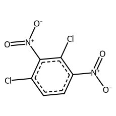 O=[N+]([O-])c1ccc(Cl)c([N+](=O)[O-])c1Cl